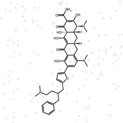 CN(C)CCN(Cc1ccccc1)Cc1ccc(-c2cc(N(C)C)c3c(c2O)C(=O)C2=C(O)[C@@]4(O)C(=O)C(C(N)=O)=C(O)[C@@H](N(C)C)[C@@H]4C[C@@H]2C3)o1